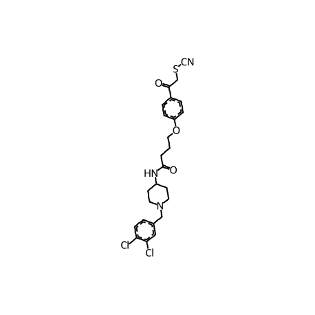 N#CSCC(=O)c1ccc(OCCCC(=O)NC2CCN(Cc3ccc(Cl)c(Cl)c3)CC2)cc1